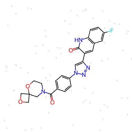 O=C(c1ccc(-n2cc(-c3cc4cc(F)ccc4[nH]c3=O)nn2)cc1)N1CCOC2(COC2)C1